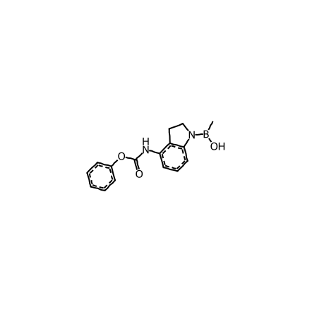 CB(O)N1CCc2c(NC(=O)Oc3ccccc3)cccc21